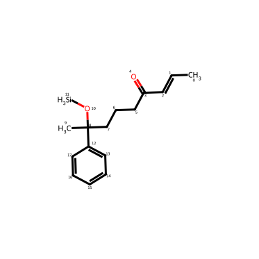 CC=CC(=O)CCCC(C)(O[SiH3])c1ccccc1